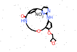 O=C1NCCCCOCc2cc(ccc2OCC2COC2)Nc2nccc(n2)-c2ccc1cc2[N+](=O)[O-]